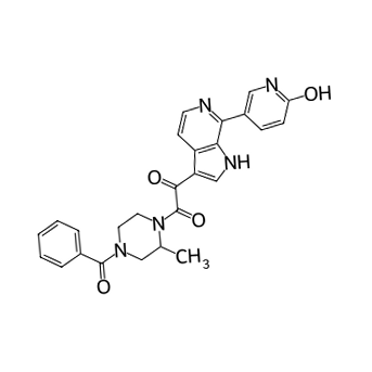 CC1CN(C(=O)c2ccccc2)CCN1C(=O)C(=O)c1c[nH]c2c(-c3ccc(O)nc3)nccc12